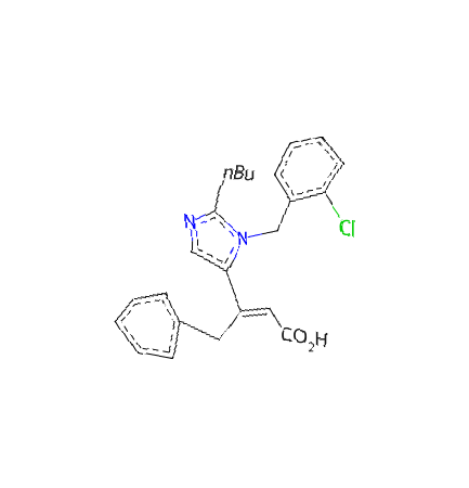 CCCCc1ncc(/C(=C/C(=O)O)Cc2ccccc2)n1Cc1ccccc1Cl